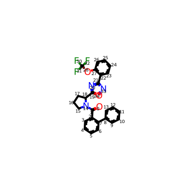 O=C(c1ccccc1-c1ccccc1)N1CCCC1c1nc(-c2ccccc2OC(F)(F)F)no1